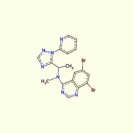 CC(c1ncnn1-c1ccccn1)N(C)c1ncnc2c(Br)cc(Br)cc12